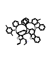 C=Cc1oc2c3cc4c(c2c1/C=C\C)-c1c2cc(c5c1oc1ccccc15)N(c1ccccc1C)c1cc(C)ccc1-c1ccccc1C24c1ccccc1-c1ccccc1N3c1cc(C)ccc1C